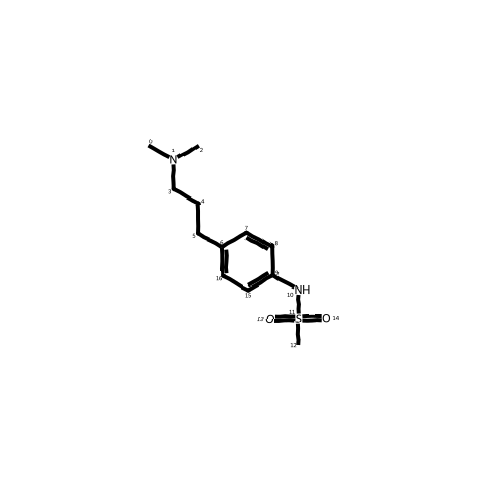 CN(C)CCCc1ccc(NS(C)(=O)=O)cc1